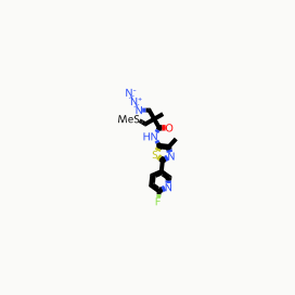 CSCC(C)(CN=[N+]=[N-])C(=O)Nc1sc(-c2ccc(F)nc2)nc1C